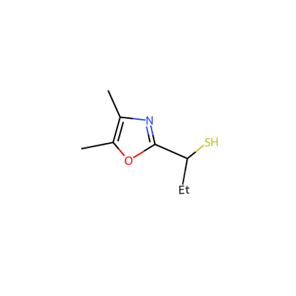 CCC(S)c1nc(C)c(C)o1